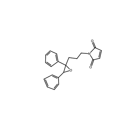 O=C1C=CC(=O)N1CCCC1(c2ccccc2)OC1c1ccccc1